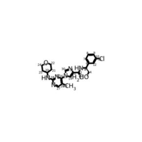 C=C(N[C@H](CO)c1cccc(Cl)c1)c1cn(-c2nc(NC3CCOCC3)ncc2C)cn1